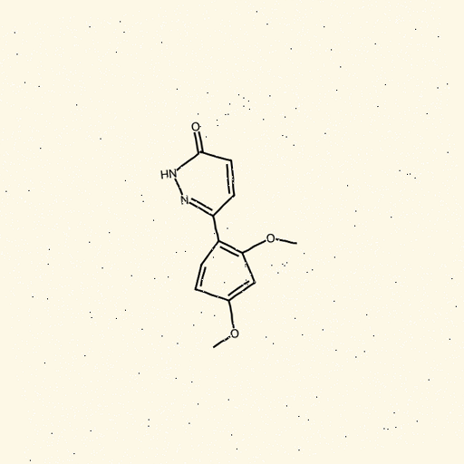 COc1ccc(-c2ccc(=O)[nH]n2)c(OC)c1